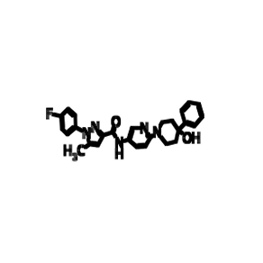 Cc1cc(C(=O)Nc2ccc(N3CCC(O)(c4ccccc4)CC3)nc2)nn1-c1ccc(F)cc1